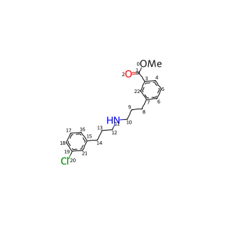 COC(=O)c1cccc(CCCNCCCc2cccc(Cl)c2)c1